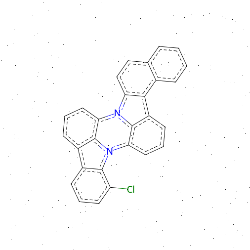 Clc1cccc2c3cccc4c3n(c3cccc5c6c7ccccc7ccc6n4c53)c12